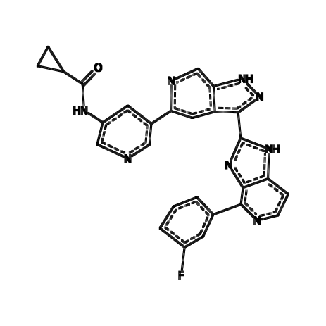 O=C(Nc1cncc(-c2cc3c(-c4nc5c(-c6cccc(F)c6)nccc5[nH]4)n[nH]c3cn2)c1)C1CC1